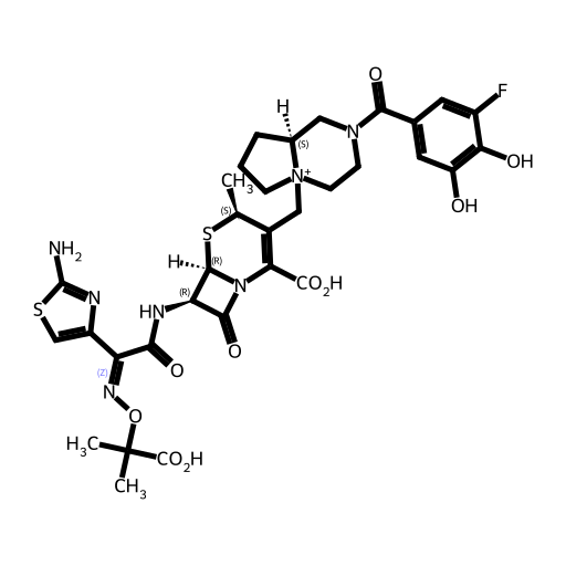 C[C@@H]1S[C@@H]2[C@H](NC(=O)/C(=N\OC(C)(C)C(=O)O)c3csc(N)n3)C(=O)N2C(C(=O)O)=C1C[N+]12CCC[C@H]1CN(C(=O)c1cc(O)c(O)c(F)c1)CC2